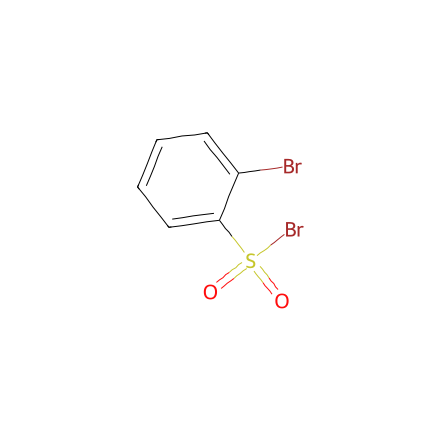 O=S(=O)(Br)c1ccccc1Br